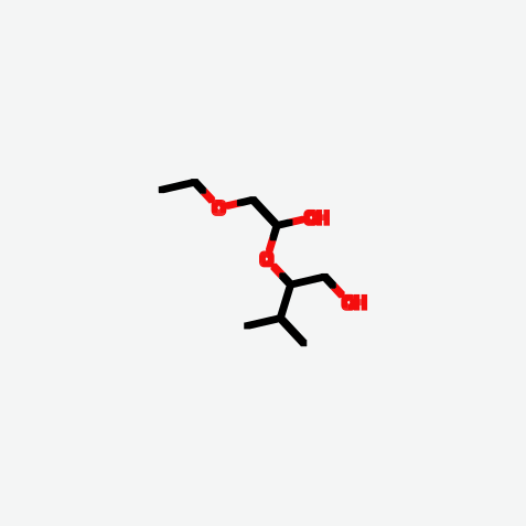 CCOCC(O)OC(CO)C(C)C